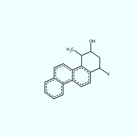 CC1c2c(ccc3c2ccc2ccccc23)C(F)CC1O